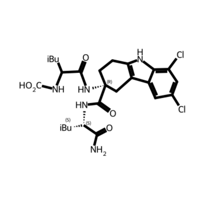 CCC(C)C(NC(=O)O)C(=O)N[C@]1(C(=O)N[C@H](C(N)=O)[C@@H](C)CC)CCc2[nH]c3c(Cl)cc(Cl)cc3c2C1